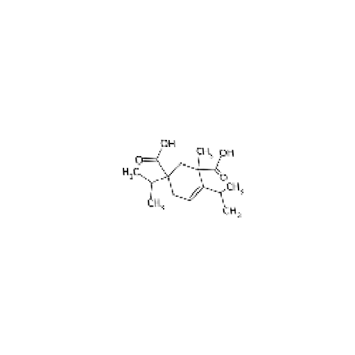 CC(C)C1=CCC(C(=O)O)(C(C)C)CC1(C)C(=O)O